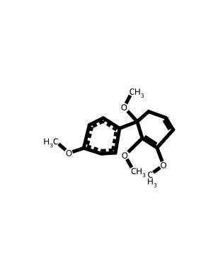 COC1=C(OC)C(OC)(c2ccc(OC)cc2)C[C]=C1